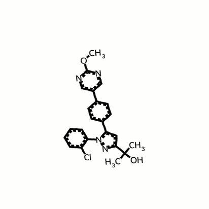 COc1ncc(-c2ccc(-c3cc(C(C)(C)O)nn3-c3ccccc3Cl)cc2)cn1